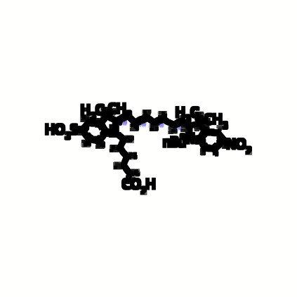 CCCCN1c2ccc([N+](=O)[O-])cc2C(C)(C)C1/C=C/C=C/C=C/C=C1\N(CCCCCC(=O)O)c2ccc(S(=O)(=O)O)cc2C1(C)C